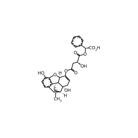 CN1CC[C@]23c4c5ccc(O)c4O[C@H]2C(OC(=O)C[C@H](O)C(=O)O[C@H](C(=O)O)c2ccccc2)=CC[C@@]3(O)[C@H]1C5